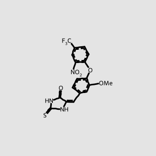 COc1cc(/C=C2/NC(=S)NC2=O)ccc1Oc1ccc(C(F)(F)F)cc1[N+](=O)[O-]